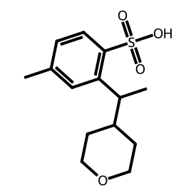 Cc1ccc(S(=O)(=O)O)c(C(C)C2CCOCC2)c1